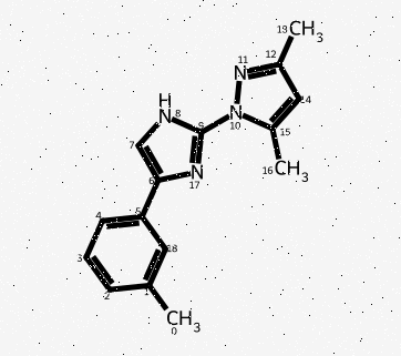 Cc1cccc(-c2c[nH]c(-n3nc(C)cc3C)n2)c1